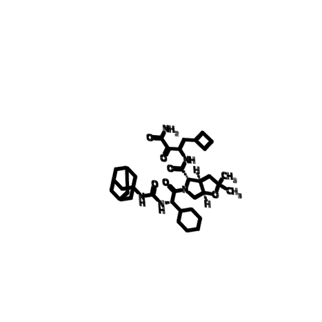 CC1(C)C[C@H]2[C@H](CN(C(=O)[C@@H](NC(=O)NC34CC5CC(CC(C5)C3)C4)C3CCCCC3)[C@@H]2C(=O)NC(CC2CCC2)C(=O)C(N)=O)O1